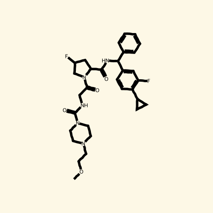 COCCN1CCN(C(=O)NCC(=O)N2CC(F)CC2C(=O)NC(c2ccccc2)c2ccc(C3CC3)c(F)c2)CC1